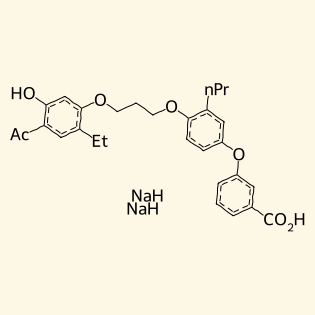 CCCc1cc(Oc2cccc(C(=O)O)c2)ccc1OCCCOc1cc(O)c(C(C)=O)cc1CC.[NaH].[NaH]